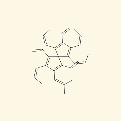 C=CC1=C(/C=C\C)C2(C(C=C)=C(C=C(C)C)C(/C=C\C)=C2C=C)C(/C=C\C)=C1/C=C\C